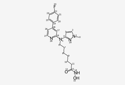 Cn1ccc(N(CCCCCCC(=O)NO)c2cc(-c3ccc(F)cc3)ccn2)n1